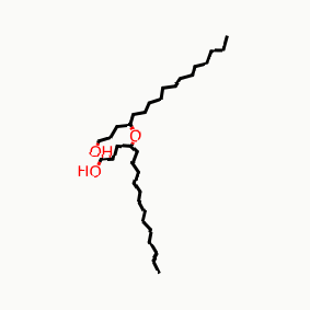 CCCCCCCCCCCCCC(CCCO)OC(CCCO)CCCCCCCCCCCCC